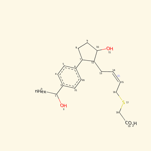 CCCCCCC(O)c1ccc(C2CCC(O)C2C/C=C\CSCC(=O)O)cc1